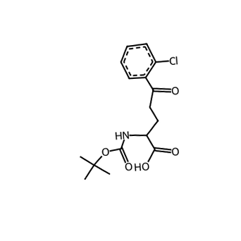 CC(C)(C)OC(=O)NC(CCC(=O)c1ccccc1Cl)C(=O)O